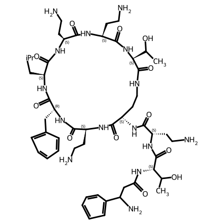 CC(C)C[C@@H]1NC(=O)[C@@H](Cc2ccccc2)NC(=O)[C@H](CCN)NC(=O)[C@@H](NC(=O)[C@H](CCN)NC(=O)[C@@H](NC(=O)CC(N)c2ccccc2)C(C)O)CCNC(=O)[C@H](C(C)O)NC(=O)[C@H](CCN)NC(=O)[C@H](CCN)NC1=O